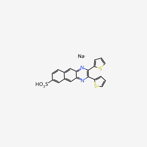 O=S(=O)(O)c1ccc2cc3nc(-c4cccs4)c(-c4cccs4)nc3cc2c1.[Na]